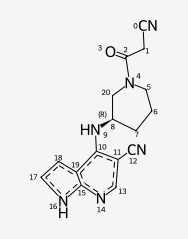 N#CCC(=O)N1CCC[C@@H](Nc2c(C#N)cnc3[nH]ccc23)C1